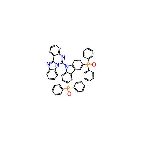 O=P(c1ccccc1)(c1ccccc1)c1ccc2c(c1)c1cc(P(=O)(c3ccccc3)c3ccccc3)ccc1n2-c1nc2ccccc2c2nc3ccccc3n12